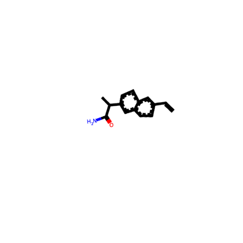 C=Cc1ccc2cc(C(C)C(N)=O)ccc2c1